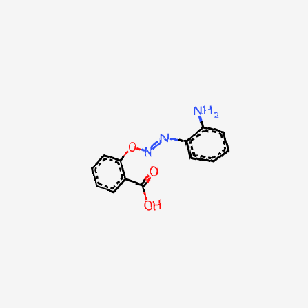 Nc1ccccc1N=NOc1ccccc1C(=O)O